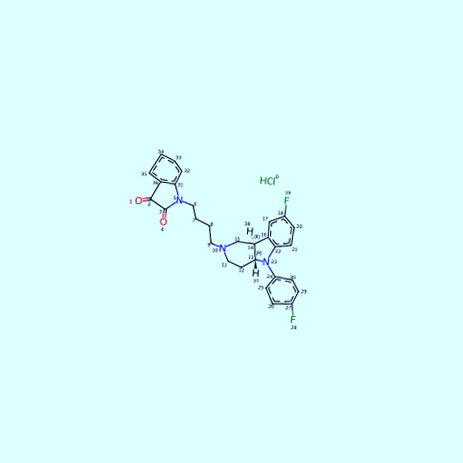 Cl.O=C1C(=O)N(CCCCN2CC[C@@H]3[C@@H](C2)c2cc(F)ccc2N3c2ccc(F)cc2)c2ccccc21